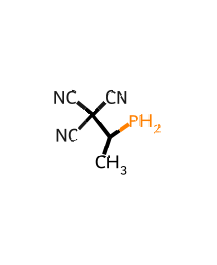 CC(P)C(C#N)(C#N)C#N